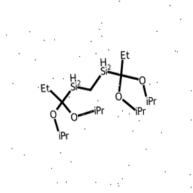 CCC(OC(C)C)(OC(C)C)[SiH2]C[SiH2]C(CC)(OC(C)C)OC(C)C